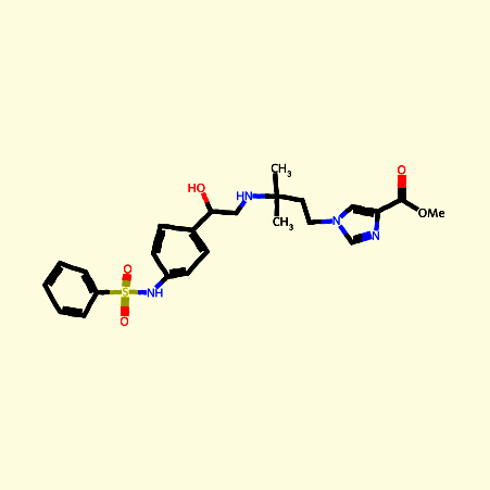 COC(=O)c1cn(CCC(C)(C)NCC(O)c2ccc(NS(=O)(=O)c3ccccc3)cc2)cn1